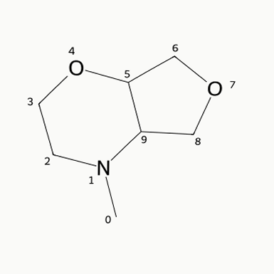 CN1CCOC2COCC21